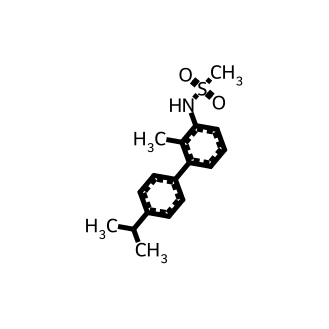 Cc1c(NS(C)(=O)=O)cccc1-c1ccc(C(C)C)cc1